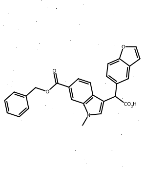 Cn1cc(C(C(=O)O)c2ccc3occc3c2)c2ccc(C(=O)OCc3ccccc3)cc21